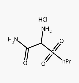 CCCS(=O)(=O)C(N)C(N)=O.Cl